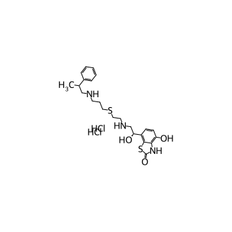 CC(CNCCCSCCNC[C@H](O)c1ccc(O)c2[nH]c(=O)sc12)c1ccccc1.Cl.Cl